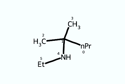 [CH2]CCC(C)(C)NCC